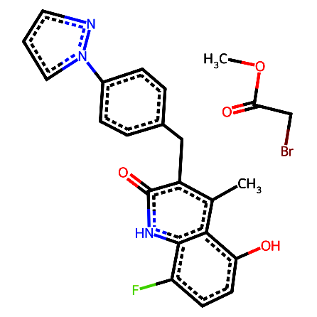 COC(=O)CBr.Cc1c(Cc2ccc(-n3cccn3)cc2)c(=O)[nH]c2c(F)ccc(O)c12